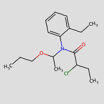 CCCOC(C)N(C(=O)C(Cl)CC)c1ccccc1CC